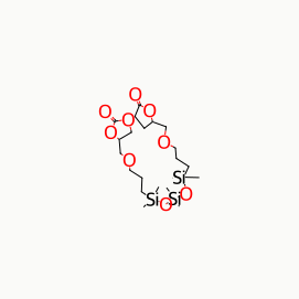 C[Si](C)(CCCOCC1CCC(=O)O1)O[Si](C)(C)O[Si](C)(C)CCCOCC1COC(=O)O1